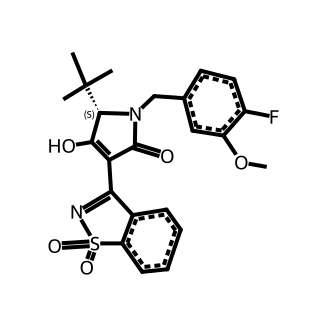 COc1cc(CN2C(=O)C(C3=NS(=O)(=O)c4ccccc43)=C(O)[C@@H]2C(C)(C)C)ccc1F